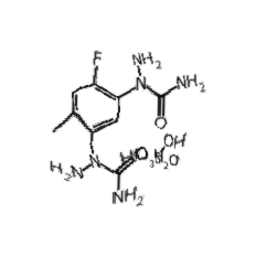 Cc1cc(F)c(N(N)C(N)=O)cc1N(N)C(N)=O.O.O=S(=O)(O)O